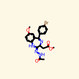 COC(=O)CC1N=C(c2ccc(Br)cc2)c2cc(OC)ccc2N/C1=N/NC(C)=O